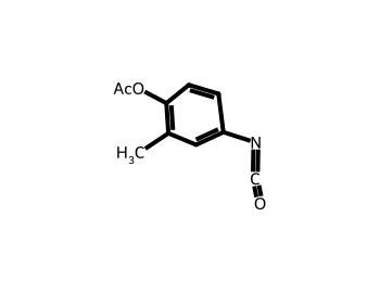 CC(=O)Oc1ccc(N=C=O)cc1C